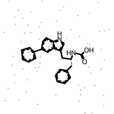 O=C(O)N[C@H](Cc1ccccc1)Cc1c[nH]c2ccc(-c3ccccc3)cc12